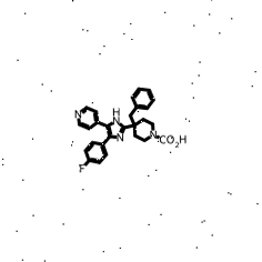 O=C(O)N1CCC(Cc2ccccc2)(c2nc(-c3ccc(F)cc3)c(-c3ccncc3)[nH]2)CC1